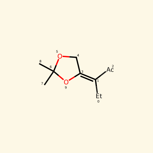 CCC(C(C)=O)=C1COC(C)(C)O1